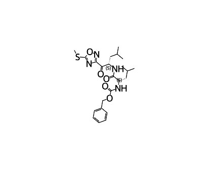 CSc1nc(C(=O)[C@H](CC(C)C)NC(=O)[C@H](CC(C)C)NC(=O)OCc2ccccc2)no1